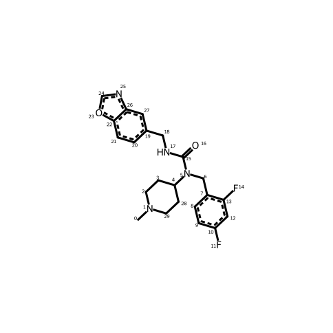 CN1CCC(N(Cc2ccc(F)cc2F)C(=O)NCc2ccc3ocnc3c2)CC1